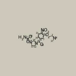 CN(C)CCOc1cc(C(=O)N2CC[C@@H](OC(N)=O)C2)ccc1[N+](=O)[O-]